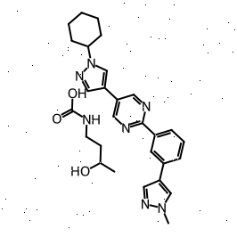 CC(O)CCNC(=O)O.Cn1cc(-c2cccc(-c3ncc(-c4cnn(C5CCCCC5)c4)cn3)c2)cn1